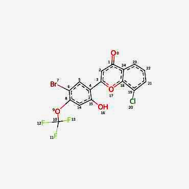 O=c1cc(-c2cc(Br)c(OC(F)(F)F)cc2O)oc2c(Cl)cccc12